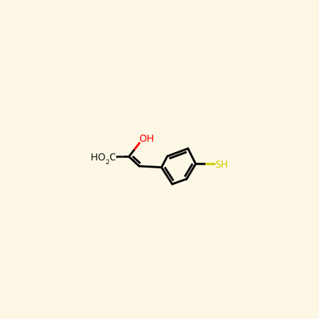 O=C(O)C(O)=Cc1ccc(S)cc1